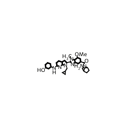 COc1cc(C(=O)N2CC3CCC2C3N)cc2nc(-c3cc4ccc(Nc5cccc(O)c5)nc4n3CC3CC3)n(C)c12